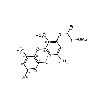 CCC(COC)Nc1cc(C)nc(Oc2c(C)cc(Br)cc2C)c1C(=O)O